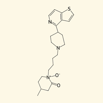 CC1CC[N+]([O-])(CCCCN2CCC(c3nccc4sccc34)CC2)C(=O)C1